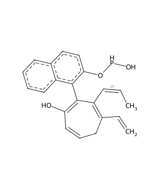 C=CC1=C(/C=C\C)C(c2c(OPO)ccc3ccccc23)=C(O)C=CC1